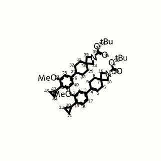 COc1cc(C2=CCC3(CC2)CN(C(=O)OC(C)(C)C)C3)ccc1C1CC1.COc1cc(C2CCC3(CC2)CN(C(=O)OC(C)(C)C)C3)ccc1C1CC1